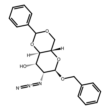 [N-]=[N+]=N[C@H]1[C@H](OCc2ccccc2)O[C@H]2COC(c3ccccc3)O[C@@H]2[C@H]1O